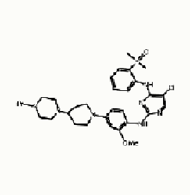 COc1cc(N2CCC(N3CCN(C(C)C)CC3)CC2)ccc1Nc1ncc(Cl)c(Nc2ccccc2P(C)(C)=O)n1